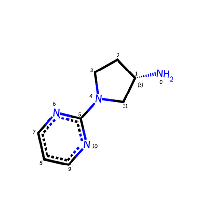 N[C@H]1CCN(c2ncccn2)C1